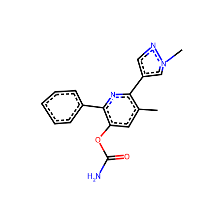 Cc1cc(OC(N)=O)c(-c2ccccc2)nc1-c1cnn(C)c1